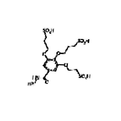 CCCNC(=O)c1cc(OCCCS(=O)(=O)O)c(OCCCS(=O)(=O)O)c(OCCS(=O)(=O)O)c1